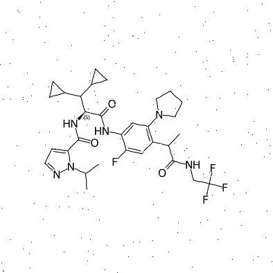 CC(C(=O)NCC(F)(F)F)c1cc(F)c(NC(=O)[C@@H](NC(=O)c2ccnn2C(C)C)C(C2CC2)C2CC2)cc1N1CCCC1